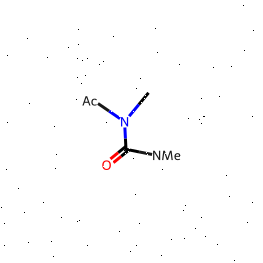 CNC(=O)N(C)C(C)=O